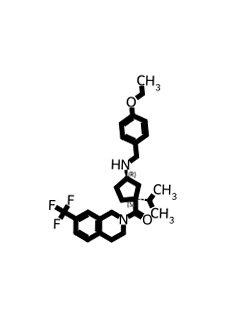 CCOc1ccc(CN[C@@H]2CC[C@@](C(=O)N3CCc4ccc(C(F)(F)F)cc4C3)(C(C)C)C2)cc1